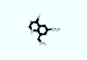 C=Cc1cc(C(=O)O)cc2c(=O)ccoc12